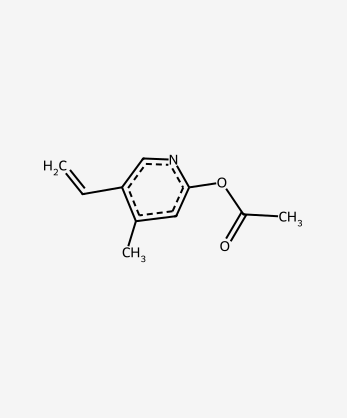 C=Cc1cnc(OC(C)=O)cc1C